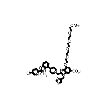 COCCOCCOCCOCCOCCOc1cc(C(=O)O)cc2c1nc(CN1CCC(c3cccc4c3O[C@](C)(c3ccc(Cl)cn3)O4)CC1)n2Cc1cncs1